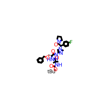 CC(C)(C)OC(=O)NC(C)(C)C(=O)N[C@H](COCc1ccccc1)C(=O)Nc1cn(C(C(=O)N2CCCC2)c2ccc(F)cc2)cn1